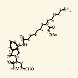 CNC(=O)C(CCC=O)N1Cc2c(NC(=O)CCCCCCN(CCOCCN)C(=O)OC(C)(C)C)cccc2C1=O